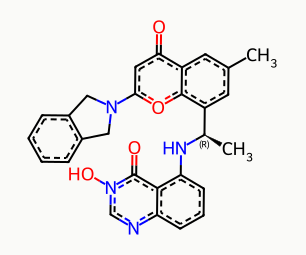 Cc1cc([C@@H](C)Nc2cccc3ncn(O)c(=O)c23)c2oc(N3Cc4ccccc4C3)cc(=O)c2c1